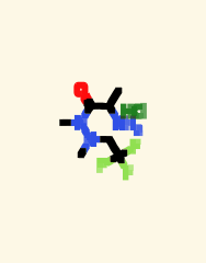 CC(N)C(=O)N(C)N(C)CC(F)(F)F.Cl